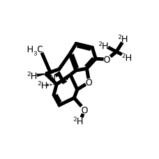 [2H]OC1C=C[C@]2([2H])[C@@]34CCN(C)[C@]2([2H])Cc2ccc(OC([2H])([2H])[2H])c(c23)OC14